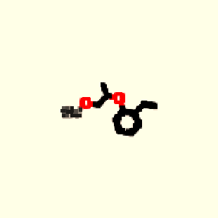 C=Cc1ccccc1OC(C)COC(C)(C)C